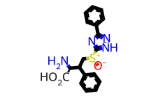 N[C@H](C(=O)O)C(C[S+]([O-])c1nc(-c2ccccc2)n[nH]1)c1ccccc1